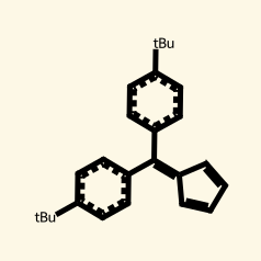 CC(C)(C)c1ccc(C(=C2[C]=CC=C2)c2ccc(C(C)(C)C)cc2)cc1